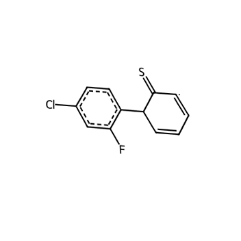 Fc1cc(Cl)ccc1C1C=CC=[C]C1=S